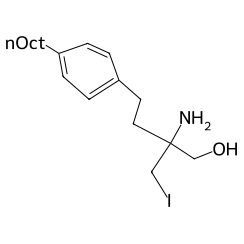 CCCCCCCCc1ccc(CCC(N)(CO)CI)cc1